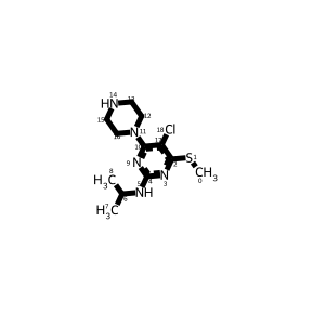 CSc1nc(NC(C)C)nc(N2CCNCC2)c1Cl